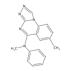 Cc1ccc2c(c1)c(N(C)c1ccccc1)nc1nncn12